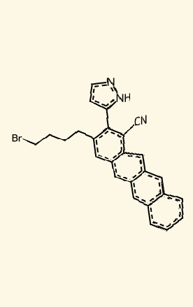 N#Cc1c(-c2ccn[nH]2)c(CCCCBr)cc2cc3cc4ccccc4cc3cc12